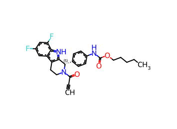 C#CC(=O)N1CCc2c([nH]c3c(F)cc(F)cc23)[C@@H]1c1ccc(NC(=O)OCCCCC)cc1